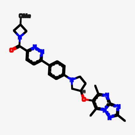 COC1CN(C(=O)c2ccc(-c3ccc(N4CC[C@@H](Oc5c(C)nc6nc(C)nn6c5C)C4)cc3)nn2)C1